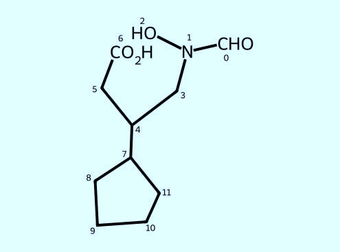 O=CN(O)CC(CC(=O)O)C1CCCC1